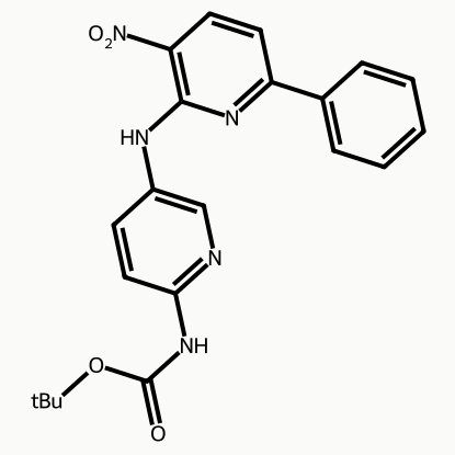 CC(C)(C)OC(=O)Nc1ccc(Nc2nc(-c3ccccc3)ccc2[N+](=O)[O-])cn1